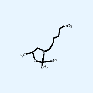 CCCCCCCCCCCCN1CC(C)OC1(C)CC